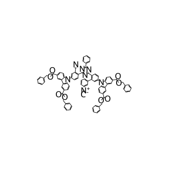 [C-]#[N+]c1cccc(-c2cc(-n3c4ccc(C(=O)OCc5ccccc5)cc4c4cc(C(=O)OCc5ccccc5)ccc43)ccc2-c2nc(-c3ccccc3)nc(-c3ccc(-n4c5ccc(C(=O)OCc6ccccc6)cc5c5cc(C(=O)OCc6ccccc6)ccc54)cc3C#N)n2)c1